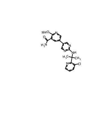 COc1ncc(-c2cnc(NC(C)(C)c3ncccc3Cl)nc2)cc1C(N)=O